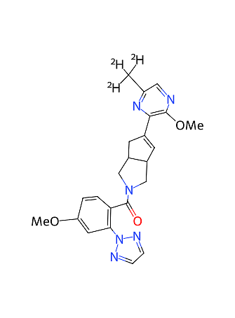 [2H]C([2H])([2H])c1cnc(OC)c(C2=CC3CN(C(=O)c4ccc(OC)cc4-n4nccn4)CC3C2)n1